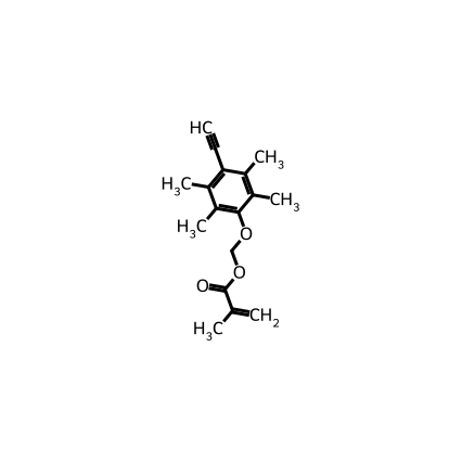 C#Cc1c(C)c(C)c(OCOC(=O)C(=C)C)c(C)c1C